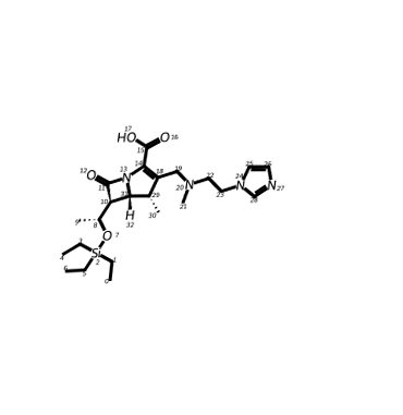 CC[Si](CC)(CC)O[C@H](C)[C@H]1C(=O)N2C(C(=O)O)=C(CN(C)CCn3ccnc3)[C@H](C)[C@H]12